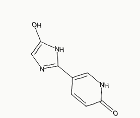 O=c1ccc(-c2ncc(O)[nH]2)c[nH]1